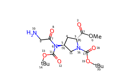 COC(=O)[C@H]1C[C@H](N(C(=O)CN)C(=O)OC(C)(C)C)CN1C(=O)OC(C)(C)C